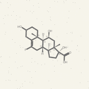 C[C@]12CCC(O)CC1=C(F)C[C@@H]1[C@@H]2[C@@H](O)C[C@@]2(C)[C@H]1CC[C@]2(O)C(=O)O